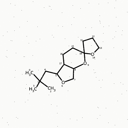 CC(C)(C)CC1OCC2OC3(CCCO3)CCC12